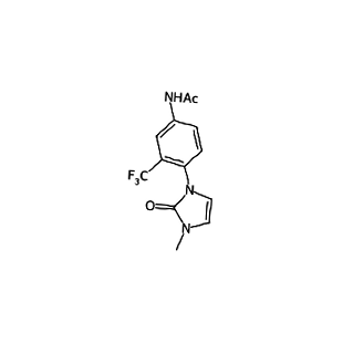 CC(=O)Nc1ccc(-n2ccn(C)c2=O)c(C(F)(F)F)c1